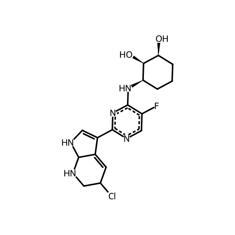 O[C@H]1[C@@H](O)CCC[C@H]1Nc1nc(C2=CNC3NCC(Cl)C=C23)ncc1F